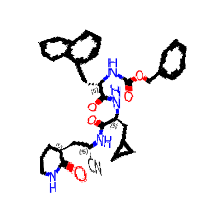 N#C[C@H](C[C@@H]1CCCNC1=O)NC(=O)[C@H](CC1CC1)NC(=O)[C@H](Cc1cccc2ccccc12)NC(=O)OCc1ccccc1